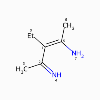 CC/C(C(C)=N)=C(\C)N